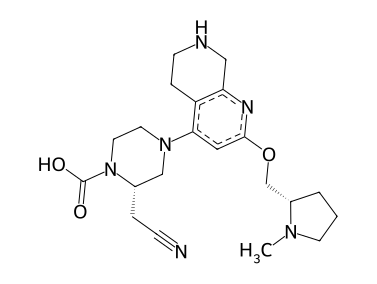 CN1CCC[C@H]1COc1cc(N2CCN(C(=O)O)[C@@H](CC#N)C2)c2c(n1)CNCC2